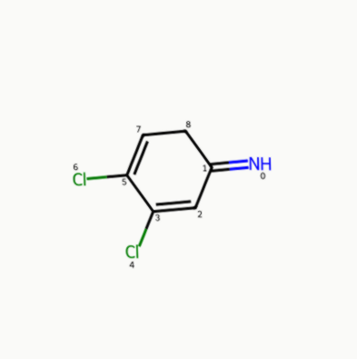 N=C1C=C(Cl)C(Cl)=CC1